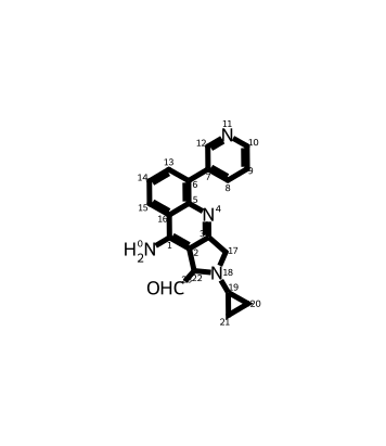 Nc1c2c(nc3c(-c4cccnc4)cccc13)CN(C1CC1)C2C=O